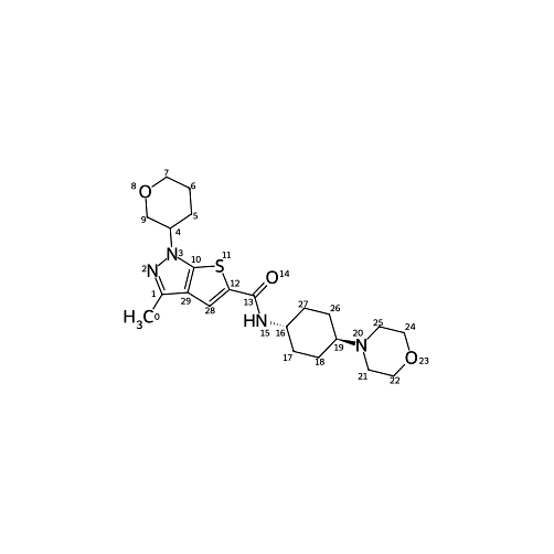 Cc1nn(C2CCCOC2)c2sc(C(=O)N[C@H]3CC[C@H](N4CCOCC4)CC3)cc12